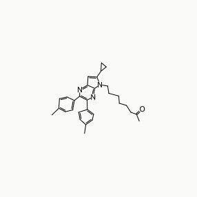 CC(=O)CCCCCCn1c(C2CC2)cc2nc(-c3ccc(C)cc3)c(-c3ccc(C)cc3)nc21